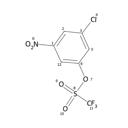 O=[N+]([O-])c1cc(Cl)cc(OS(=O)(=O)C(F)(F)F)c1